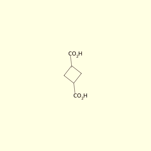 O=C(O)[C]1CC(C(=O)O)C1